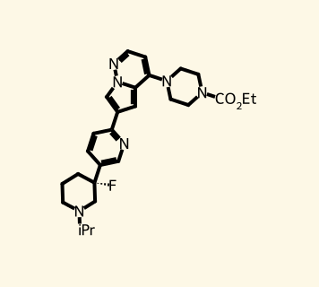 CCOC(=O)N1CCN(c2ccnn3cc(-c4ccc([C@]5(F)CCCN(C(C)C)C5)cn4)cc23)CC1